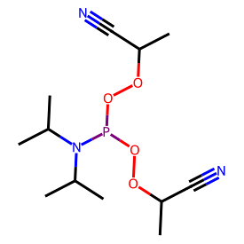 CC(C#N)OOP(OOC(C)C#N)N(C(C)C)C(C)C